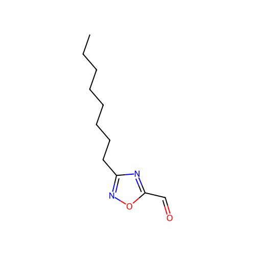 CCCCCCCCc1noc(C=O)n1